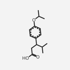 CC(C)Oc1ccc(C(CC(=O)O)C(C)C)cc1